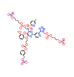 COc1ccccc1Oc1c(OCCOC(=O)Oc2cccc(CO[N+](=O)[O-])c2)nc(-c2ccnc(-c3nnnn3COC(=O)OCCCCO[N+](=O)[O-])c2)nc1N(COC(=O)OCCCCO[N+](=O)[O-])S(=O)(=O)c1ccc(C)cn1